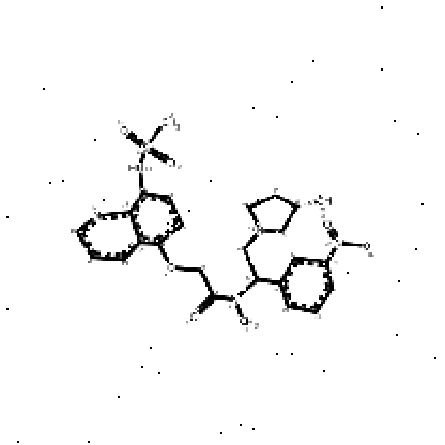 CN(C(=O)COc1ccc(NS(C)(=O)=O)c2ncccc12)C(CN1CC[C@H](O)C1)c1cccc([N+](=O)[O-])c1